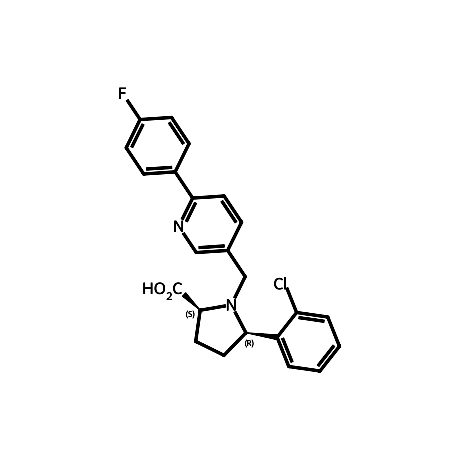 O=C(O)[C@@H]1CC[C@H](c2ccccc2Cl)N1Cc1ccc(-c2ccc(F)cc2)nc1